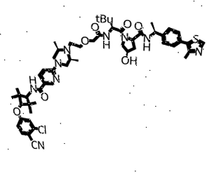 Cc1ncsc1-c1ccc([C@H](C)NC(=O)C2C[C@@H](O)CN2C(=O)[C@@H](NC(=O)COCCN2[C@H](C)CN(c3ccc(C(=O)NC4C(C)(C)C(Oc5ccc(C#N)c(Cl)c5)C4(C)C)cn3)C[C@@H]2C)C(C)(C)C)cc1